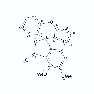 COc1ccc2c(c1OC)C(=O)OC21c2ccccc2Oc2ccccc21